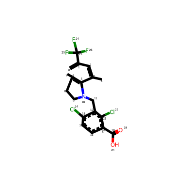 C=C(/C=C(/C)C1=C(C)CCN1Cc1c(Cl)ccc(C(=O)O)c1Cl)C(F)(F)F